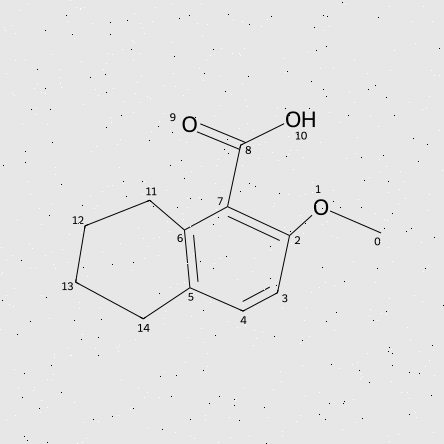 COc1ccc2c(c1C(=O)O)CCCC2